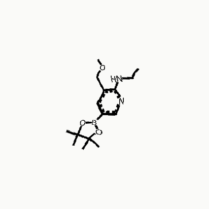 CCNc1ncc(B2OC(C)(C)C(C)(C)O2)cc1COC